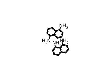 Nc1cccc2c(N)cccc12.Nc1cccc2cccc(N)c12